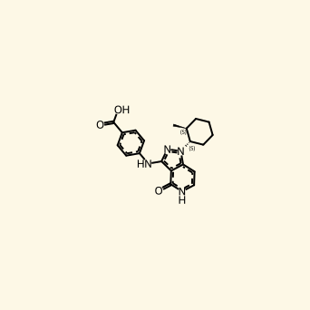 C[C@H]1CCCC[C@@H]1n1nc(Nc2ccc(C(=O)O)cc2)c2c(=O)[nH]ccc21